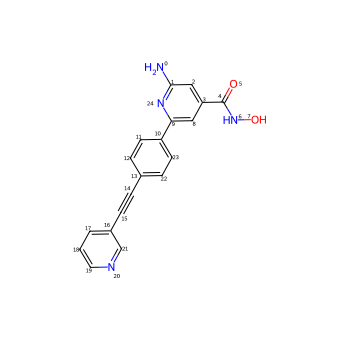 Nc1cc(C(=O)NO)cc(-c2ccc(C#Cc3cccnc3)cc2)n1